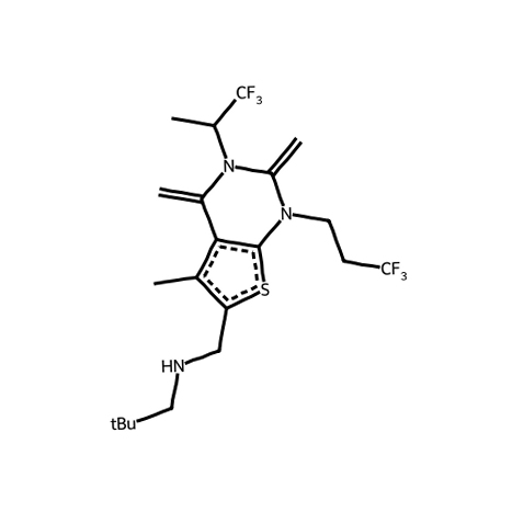 C=C1c2c(sc(CNCC(C)(C)C)c2C)N(CCC(F)(F)F)C(=C)N1C(C)C(F)(F)F